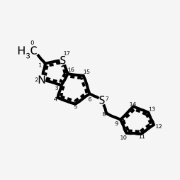 Cc1nc2ccc(SCc3ccccc3)cc2s1